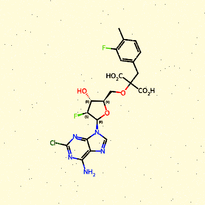 Cc1ccc(CC(OC[C@H]2O[C@@H](n3cnc4c(N)nc(Cl)nc43)[C@@H](F)[C@@H]2O)(C(=O)O)C(=O)O)cc1F